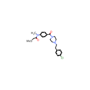 CSCC(=O)N(C)c1ccc(C(=O)N2CCN(CCc3ccc(Cl)cc3)CC2)cc1